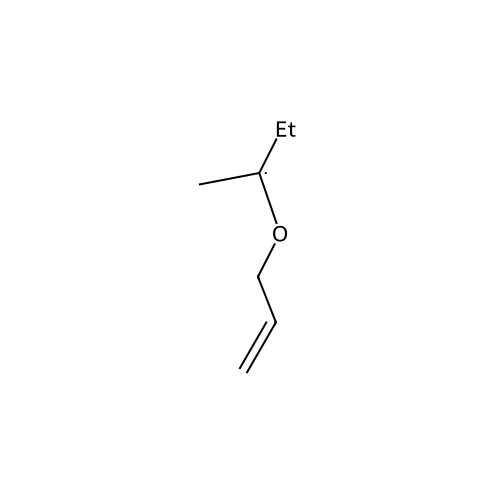 C=CCO[C](C)CC